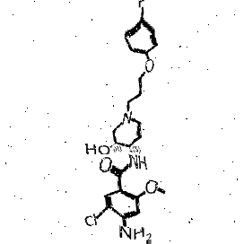 COc1cc(N)c(Cl)cc1C(=O)N[C@H]1CCN(CCCOc2ccc(F)cc2)C[C@H]1O